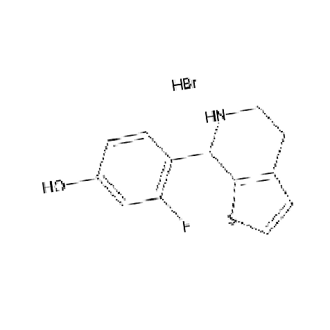 Br.Oc1ccc(C2NCCc3ccsc32)c(F)c1